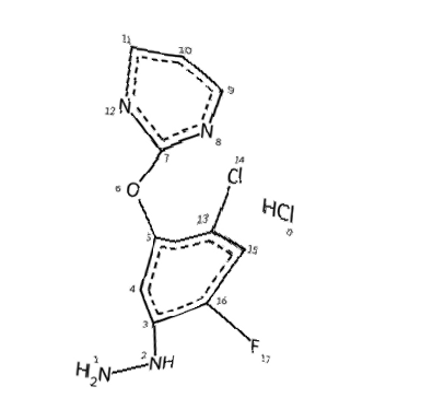 Cl.NNc1cc(Oc2ncccn2)c(Cl)cc1F